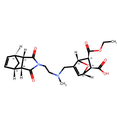 CCOC(=O)[C@H]1[C@@H](C(=O)O)[C@@H]2C=C(CN(C)CCN3C(=O)[C@@H]4[C@H](C3=O)[C@@H]3C=C[C@@H]4C3)[C@H]1O2